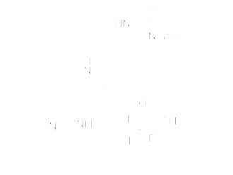 Cn1c(=O)[nH]c2cc(C(=O)NC3CCCC(c4nc5ccccc5[nH]4)C3)ccc21.O=C(O)C(F)(F)F